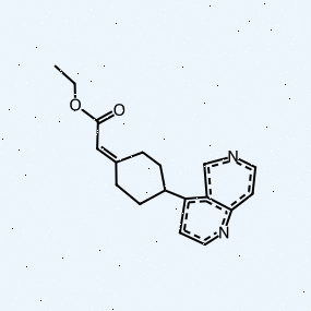 CCOC(=O)C=C1CCC(c2ccnc3ccncc23)CC1